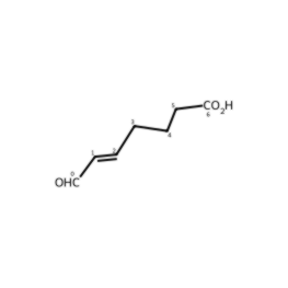 O=CC=CCCCC(=O)O